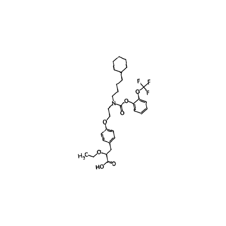 CCOC(Cc1ccc(OCCN(CCCCC2CCCCC2)C(=O)Oc2ccccc2OC(F)(F)F)cc1)C(=O)O